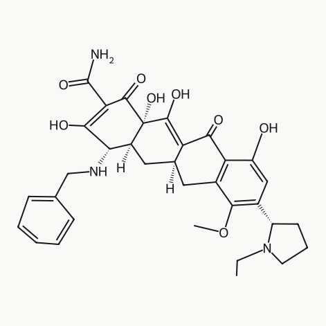 CCN1CCC[C@H]1c1cc(O)c2c(c1OC)C[C@H]1C[C@H]3[C@H](NCc4ccccc4)C(O)=C(C(N)=O)C(=O)[C@@]3(O)C(O)=C1C2=O